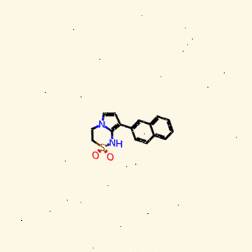 O=S1(=O)CCn2ccc(-c3ccc4ccccc4c3)c2N1